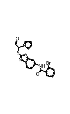 O=CC(Sc1nc2ccc(NC(=O)c3ccccc3Br)cc2s1)n1cccc1